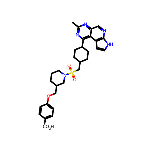 Cc1nc(C2CCC(CS(=O)(=O)N3CCCC(COc4ccc(C(=O)O)cc4)C3)CC2)c2c(cnc3[nH]ccc32)n1